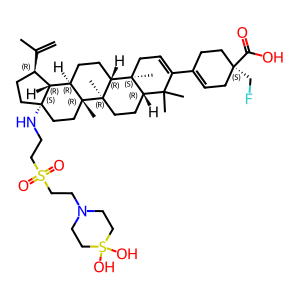 C=C(C)[C@@H]1CC[C@]2(NCCS(=O)(=O)CCN3CCS(O)(O)CC3)CC[C@]3(C)[C@H](CC[C@@H]4[C@@]5(C)CC=C(C6=CC[C@](CF)(C(=O)O)CC6)C(C)(C)[C@@H]5CC[C@]43C)[C@@H]12